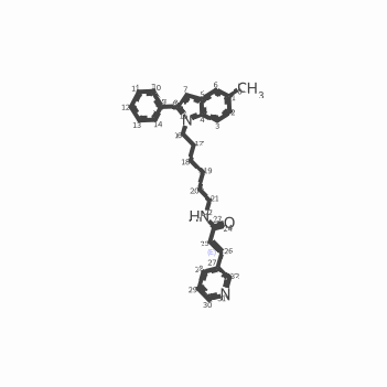 Cc1ccc2c(c1)cc(-c1ccccc1)n2CCCCCCNC(=O)/C=C/c1cccnc1